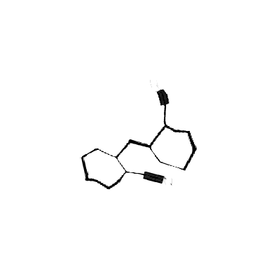 N#CC1CCCCC1CC1CCCCC1C#N